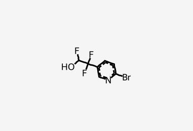 OC(F)C(F)(F)c1ccc(Br)nc1